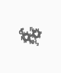 COc1cc(-c2cccnc2F)c(N)cn1